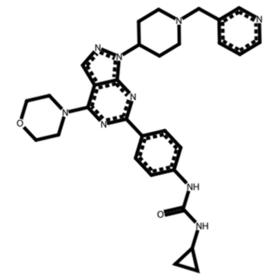 O=C(Nc1ccc(-c2nc(N3CCOCC3)c3cnn(C4CCN(Cc5cccnc5)CC4)c3n2)cc1)NC1CC1